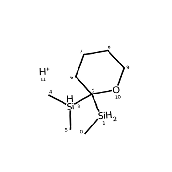 C[SiH2]C1([SiH](C)C)CCCCO1.[H+]